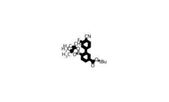 CC(C)(C)OC(=O)c1ccc(B2OC(C)(C)C(C)(C)O2)c(-c2ccc(C#N)c(F)c2)c1